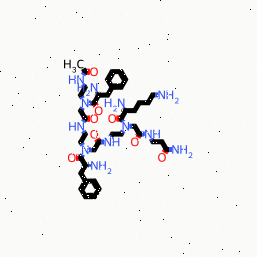 CC(=O)NCCN(CC(=O)NCCN(CC(=O)NCCN(CC(=O)NCCC(N)=O)C(=O)[C@@H](N)CCCCN)C(=O)[C@@H](N)Cc1ccccc1)C(=O)[C@@H](N)Cc1ccccc1